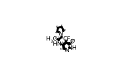 CC(CN1CCCC1)Nc1cn[nH]c(=O)c1C(F)(F)F